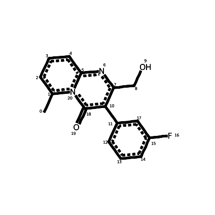 Cc1cccc2nc(CO)c(-c3cccc(F)c3)c(=O)n12